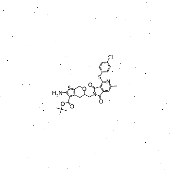 Cc1cc2c(c(Sc3ccc(Cl)cc3)n1)C(=O)N(CC1Cc3c(sc(N)c3C(=O)OC(C)(C)C)CO1)C2=O